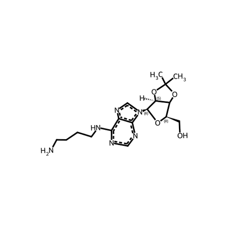 CC1(C)OC2[C@@H](CO)O[C@@H](n3cnc4c(NCCCCN)ncnc43)[C@H]2O1